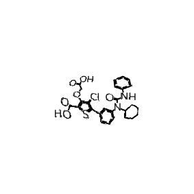 O=C(O)COc1c(C(=O)O)sc(-c2cccc(N(C(=O)Nc3ccccc3)C3CCCCC3)c2)c1Cl